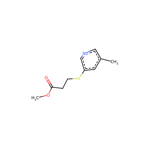 COC(=O)CCSc1cncc(C)c1